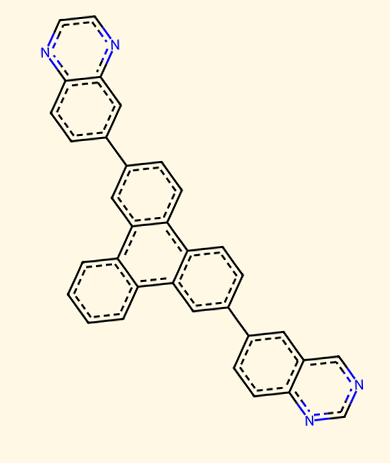 c1ccc2c(c1)c1cc(-c3ccc4ncncc4c3)ccc1c1ccc(-c3ccc4nccnc4c3)cc21